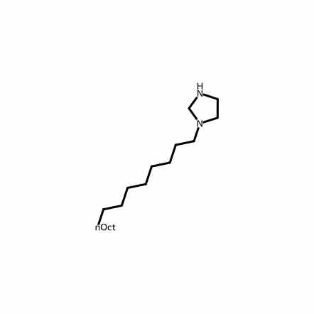 CCCCCCCCCCCCCCCCN1CCNC1